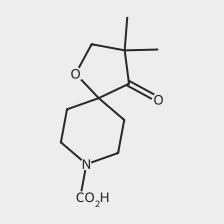 CC1(C)COC2(CCN(C(=O)O)CC2)C1=O